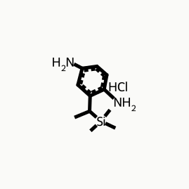 CC(c1cc(N)ccc1N)[Si](C)(C)C.Cl